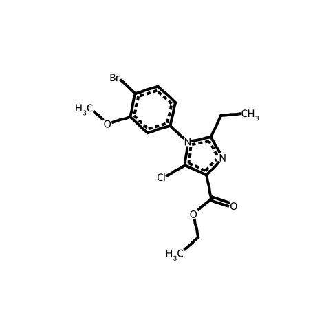 CCOC(=O)c1nc(CC)n(-c2ccc(Br)c(OC)c2)c1Cl